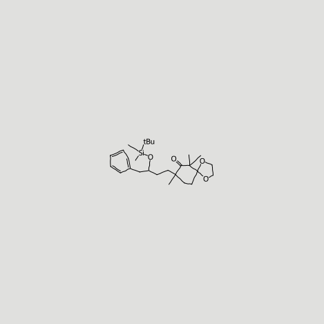 CC1(CCC(Cc2ccccc2)O[Si](C)(C)C(C)(C)C)CCC2(OCCO2)C(C)(C)C1=O